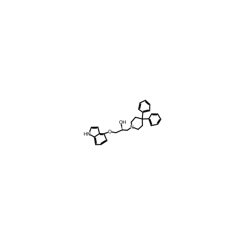 O[C@H](COc1cccc2[nH]ccc12)CN1CCC(c2ccccc2)(c2ccccc2)CC1